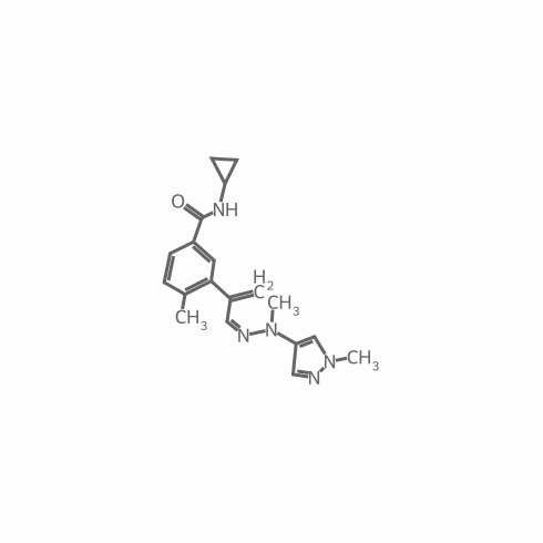 C=C(/C=N\N(C)c1cnn(C)c1)c1cc(C(=O)NC2CC2)ccc1C